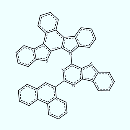 c1ccc2c(c1)cc(-c1nc(-n3c4ccccc4c4c5ccccc5c5c6ccccc6sc5c43)c3sc4ccccc4c3n1)c1ccccc12